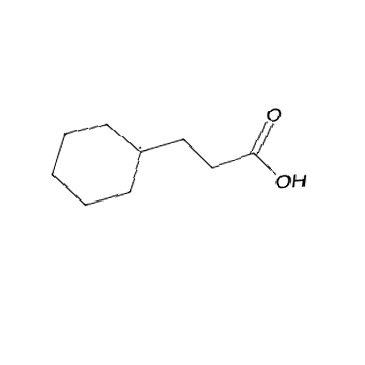 O=C(O)CC[C]1CCCCC1